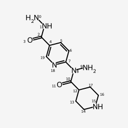 NNC(=O)c1ccc(N(N)C(=O)C2CCNCC2)nc1